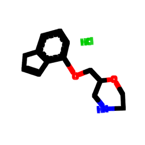 C1=Cc2c(cccc2OCC2CNCCO2)C1.Cl